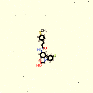 CSc1ccc(CCC(=O)NC2CCc3c(c4cc(F)ccc4n3CC(=O)O)C2)cc1